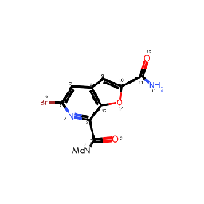 CNC(=O)c1nc(Br)cc2cc(C(N)=O)oc12